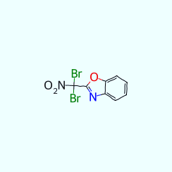 O=[N+]([O-])C(Br)(Br)c1nc2ccccc2o1